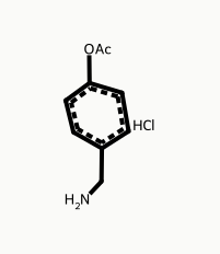 CC(=O)Oc1ccc(CN)cc1.Cl